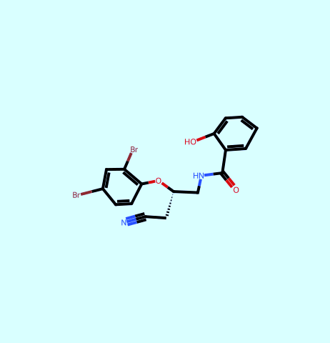 N#CC[C@@H](CNC(=O)c1ccccc1O)Oc1ccc(Br)cc1Br